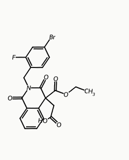 CCOC(=O)C1(CC(=O)O)C(=O)N(Cc2ccc(Br)cc2F)C(=O)c2ccccc21